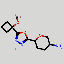 Cl.NC1CCC(c2nnc(C3(OC(F)(F)F)CCC3)o2)OC1